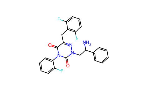 NC(Cn1nc(Cc2c(F)cccc2F)c(=O)n(-c2ccccc2F)c1=O)c1ccccc1